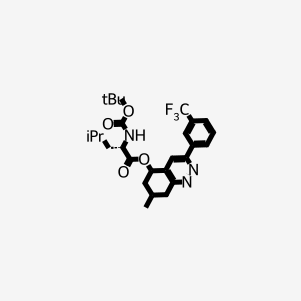 CC(C)C[C@H](NC(=O)OC(C)(C)C)C(=O)OC1CC(C)Cc2nnc(-c3cccc(C(F)(F)F)c3)cc21